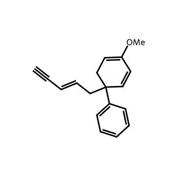 C#CC=CCC1(c2ccccc2)C=CC(OC)=CC1